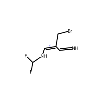 N=C/C(=C\NC(F)F)CBr